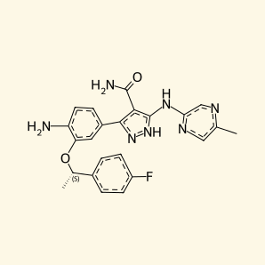 Cc1cnc(Nc2[nH]nc(-c3ccc(N)c(O[C@@H](C)c4ccc(F)cc4)c3)c2C(N)=O)cn1